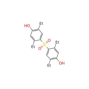 CCc1cc(S(=O)(=O)c2cc(CC)c(O)cc2CC)c(CC)cc1O